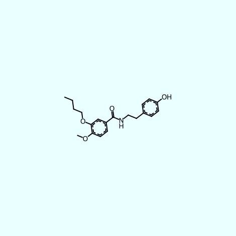 CCCCOc1cc(C(=O)NCCc2ccc(O)cc2)ccc1OC